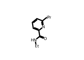 CCNC(=O)c1cccc(C(C)C)n1